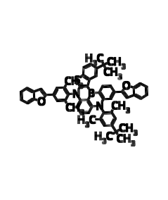 Cc1cc(C(C)(C)C)cc(C)c1N1c2cc(-c3cc4ccccc4o3)ccc2B2c3c1cccc3N(c1c(C)cc(-c3cc4ccccc4o3)cc1C)c1sc3ccc(C(C)(C)C)cc3c12